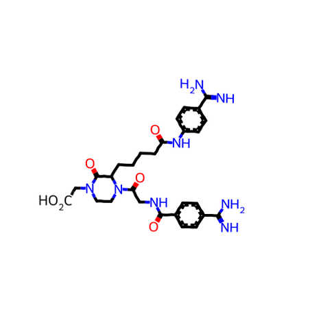 N=C(N)c1ccc(NC(=O)CCCCC2C(=O)N(CC(=O)O)CCN2C(=O)CNC(=O)c2ccc(C(=N)N)cc2)cc1